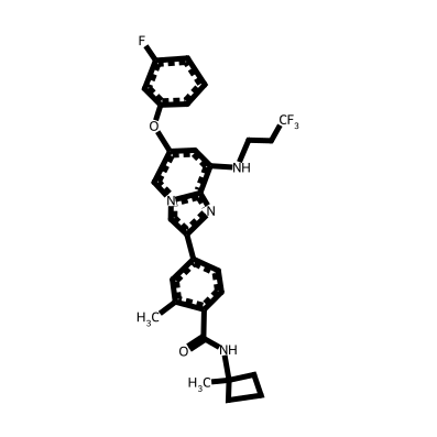 Cc1cc(-c2cn3cc(Oc4cccc(F)c4)cc(NCCC(F)(F)F)c3n2)ccc1C(=O)NC1(C)CCC1